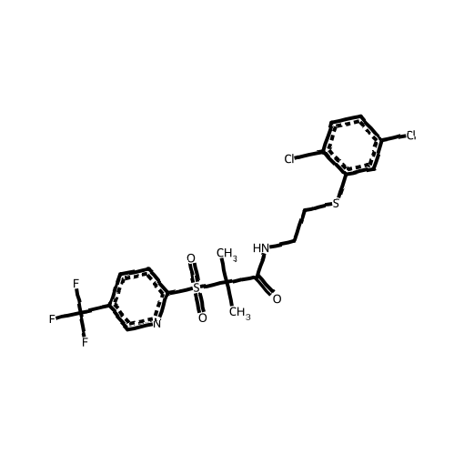 CC(C)(C(=O)NCCSc1cc(Cl)ccc1Cl)S(=O)(=O)c1ccc(C(F)(F)F)cn1